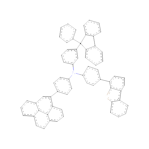 c1ccc(C2(c3cccc(N(c4ccc(-c5cc6cccc7ccc8cccc5c8c76)cc4)c4ccc(-c5cccc6c5sc5ccccc56)cc4)c3)c3ccccc3-c3ccccc32)cc1